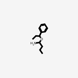 CCCC(N)OC(CC)c1ccccc1